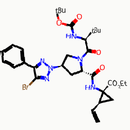 C=C[C@@H]1C[C@]1(NC(=O)[C@@H]1C[C@@H](n2nc(Br)c(-c3ccccc3)n2)CN1C(=O)[C@@H](NC(=O)OC(C)(C)C)C(C)(C)C)C(=O)OCC